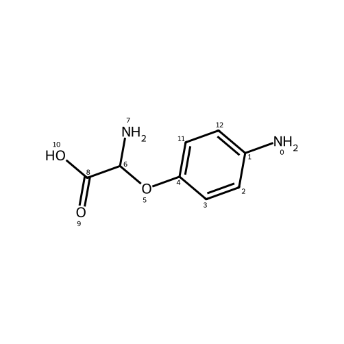 Nc1ccc(OC(N)C(=O)O)cc1